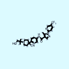 Cc1c(C(=O)Nc2ccc(C3(C#N)CCN(C(C)(C)CO)CC3)nc2)cnn1-c1ccc(C(F)(F)F)cn1